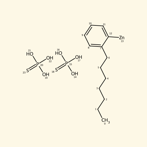 CCCCCCCc1cccc[c]1[Zn].OP(O)(O)=S.OP(O)(O)=S